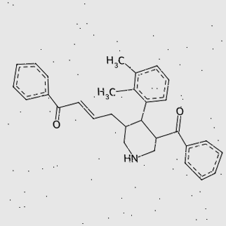 Cc1cccc(C2C(CC=CC(=O)c3ccccc3)CNCC2C(=O)c2ccccc2)c1C